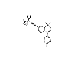 Cc1ccc(C2=CCC(C)(C)c3cc(C#CC(=O)[Si](C)(C)C)ccc32)cc1